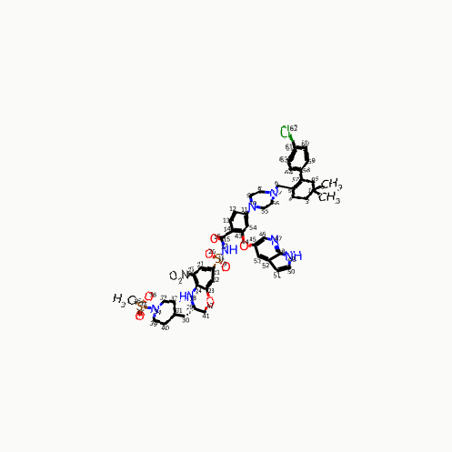 CC1(C)CCC(CN2CCN(c3ccc(C(=O)NS(=O)(=O)c4cc5c(c([N+](=O)[O-])c4)N[C@@H](CC4CCN(S(C)(=O)=O)CC4)CO5)c(Oc4cnc5[nH]ccc5c4)c3)CC2)=C(c2ccc(Cl)cc2)C1